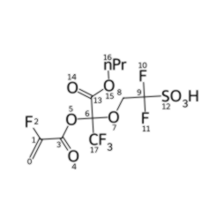 C=C(F)C(=O)OC(OCC(F)(F)S(=O)(=O)O)(C(=O)OCCC)C(F)(F)F